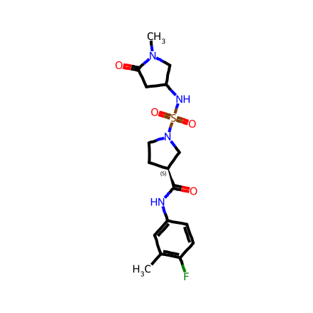 Cc1cc(NC(=O)[C@H]2CCN(S(=O)(=O)NC3CC(=O)N(C)C3)C2)ccc1F